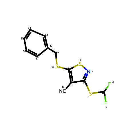 N#Cc1c(SC(F)F)nsc1SCc1ccccc1